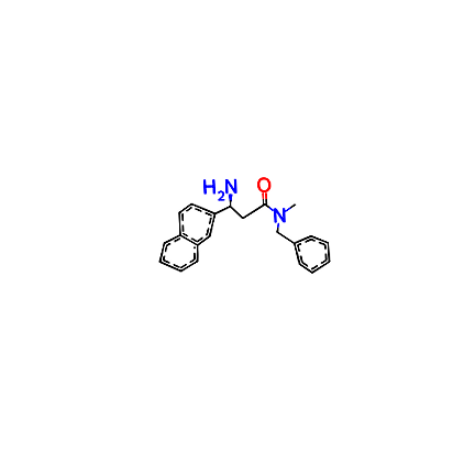 CN(Cc1ccccc1)C(=O)C[C@H](N)c1ccc2ccccc2c1